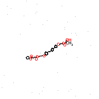 C=C(CO)C(=O)OCCCOc1ccc(-c2ccc(/C=C/c3ccc(OCCCCOC(=O)CCC(=O)OC4CCCCC4)cc3)cc2)cc1